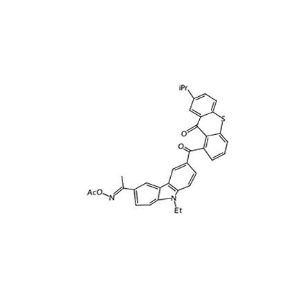 CCn1c2ccc(C(=O)c3cccc4sc5ccc(C(C)C)cc5c(=O)c34)cc2c2cc(C(C)=NOC(C)=O)ccc21